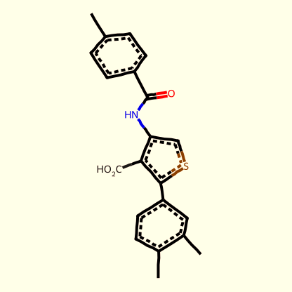 Cc1ccc(C(=O)Nc2csc(-c3ccc(C)c(C)c3)c2C(=O)O)cc1